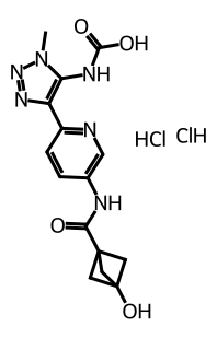 Cl.Cl.Cn1nnc(-c2ccc(NC(=O)C34CC(O)(C3)C4)cn2)c1NC(=O)O